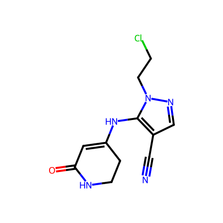 N#Cc1cnn(CCCl)c1NC1=CC(=O)NCC1